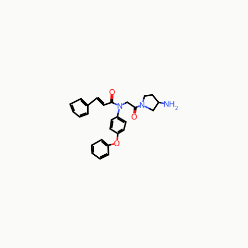 NC1CCN(C(=O)CN(C(=O)/C=C/c2ccccc2)c2ccc(Oc3ccccc3)cc2)C1